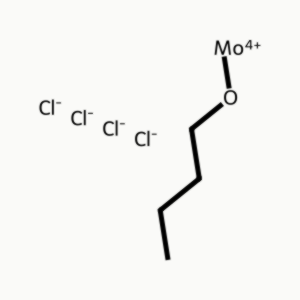 CCCC[O][Mo+4].[Cl-].[Cl-].[Cl-].[Cl-]